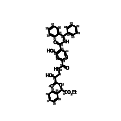 CCOC(=O)C(OC(=O)C(O)CNC(=O)c1ncc(C(=O)NC(c2ccccc2)c2ccccc2)c(O)n1)c1ccccc1